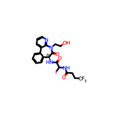 O=C(CCC(F)(F)F)NC(I)C(=O)N[C@@H]1C(=O)N(CCO)c2ncccc2-c2ccccc21